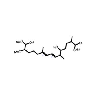 CCC(OC)C(C)CCC(O)C(C)/C=C/C=C(\C)CCCC(OC)C(O)OC